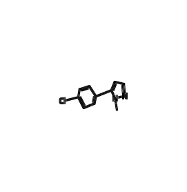 Cn1nccc1-c1ccc(Cl)cc1